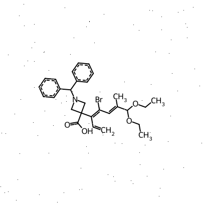 C=C/C(=C(Br)\C=C(/C)C(OCC)OCC)C1(C(=O)O)CN(C(c2ccccc2)c2ccccc2)C1